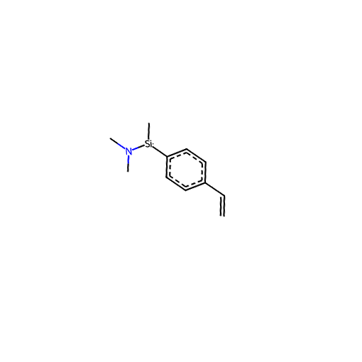 C=Cc1ccc([Si](C)N(C)C)cc1